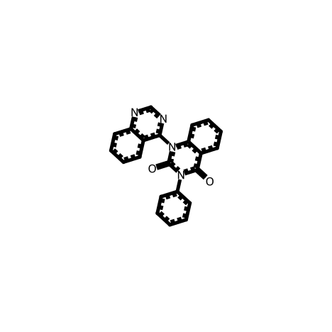 O=c1c2ccccc2n(-c2ncnc3ccccc23)c(=O)n1-c1ccccc1